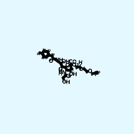 C#CCOCCOCCO[C@]1(C(=O)O)C[C@H](O)[C@@H](NC(=O)CO)[C@H]([C@H](O)[C@H](O)CNC(=O)Cc2ccc(C)cc2)O1